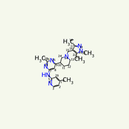 Cc1ccnc(Nc2cc(C3CCCN(Cc4c(C)nn(C)c4C)C3)nc(C)n2)c1